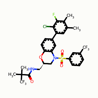 Cc1cc(-c2ccc3c(c2)N(S(=O)(=O)c2cccc(C(F)(F)F)c2)C[C@H](CNC(=O)C(C)(C)C(F)(F)F)O3)c(Cl)c(F)c1C